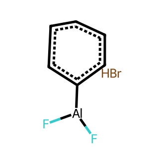 Br.[F][Al]([F])[c]1ccccc1